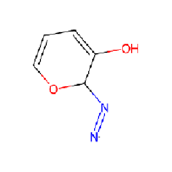 [N]=NC1OC=CC=C1O